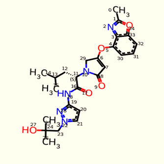 Cc1nc2c(OC3=CC(=O)N([C@@H](CC(C)C)C(=O)Nc4ccn(CC(C)(C)O)n4)C3)cccc2o1